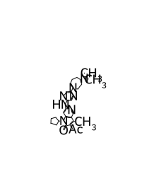 CC(=O)c1c(C)c2cnc(Nc3cnc(N4CCCC(N(C)C)CC4)cn3)cc2n(C2CCCC2)c1=O